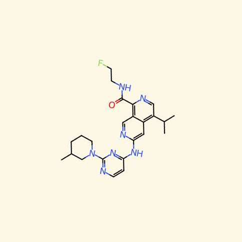 CC1CCCN(c2nccc(Nc3cc4c(C(C)C)cnc(C(=O)NCCF)c4cn3)n2)C1